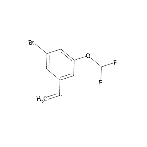 C=[C]c1cc(Br)cc(OC(F)F)c1